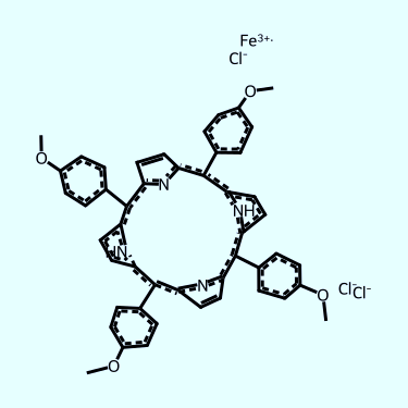 COc1ccc(-c2c3nc(c(-c4ccc(OC)cc4)c4ccc([nH]4)c(-c4ccc(OC)cc4)c4nc(c(-c5ccc(OC)cc5)c5ccc2[nH]5)C=C4)C=C3)cc1.[Cl-].[Cl-].[Cl-].[Fe+3]